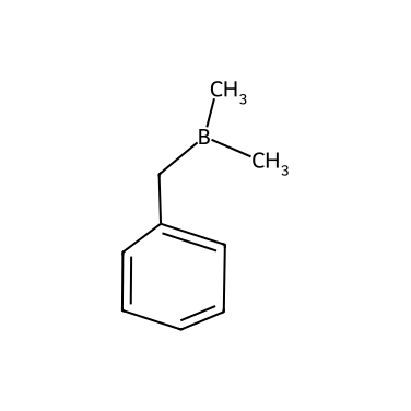 CB(C)Cc1ccccc1